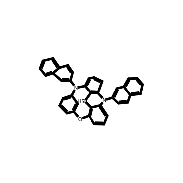 c1cc2c3c(c1)N(c1ccc4ccccc4c1)c1cccc4c1[SiH]3c1c(cccc1N4c1ccc3ccccc3c1)O2